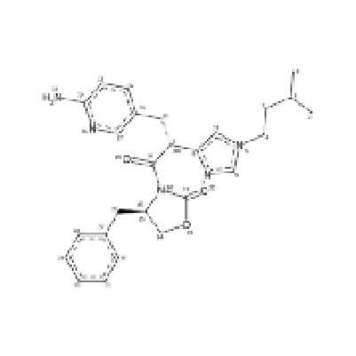 CC(C)CCn1cnc([C@@H](Cc2ccc(N)nc2)C(=O)N2C(=O)OC[C@H]2Cc2ccccc2)c1